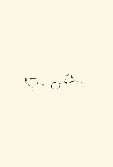 CC(C)(Nc1ncc(-c2ncc(CN)s2)nn1)c1ncccc1Cl